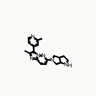 Cc1cc(-c2c(C)nc3ccc(N4CC5CCNC5C4)nn23)ccn1